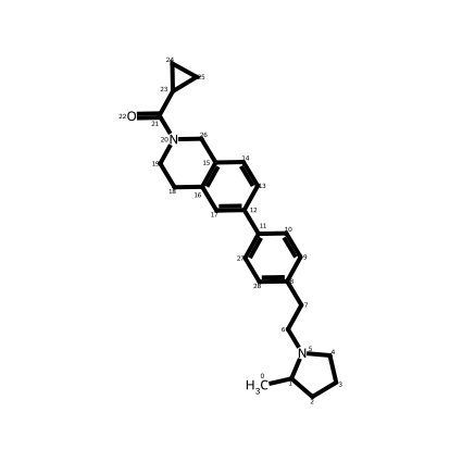 CC1CCCN1CCc1ccc(-c2ccc3c(c2)CCN(C(=O)C2CC2)C3)cc1